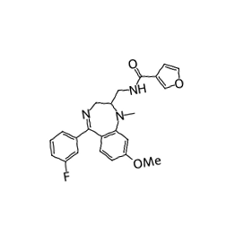 COc1ccc2c(c1)N(C)C(CNC(=O)c1ccoc1)CN=C2c1cccc(F)c1